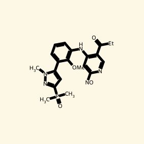 CCC(=O)c1cnc(N=O)cc1Nc1cccc(-c2cc(P(C)(C)=O)nn2C)c1OC